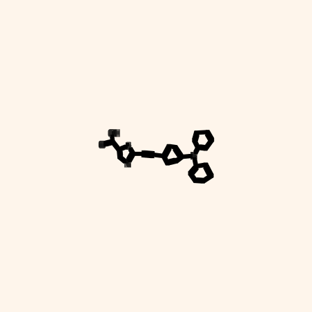 O=C(O)c1cnc(C#Cc2ccc(N(c3ccccc3)c3ccccc3)cc2)s1